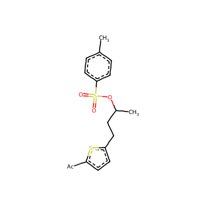 CC(=O)c1ccc(CCC(C)OS(=O)(=O)c2ccc(C)cc2)s1